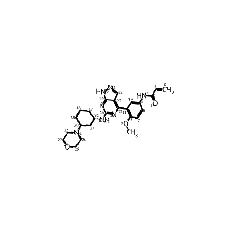 C=CC(=O)Nc1ccc(OC)c(-c2nc(N[C@H]3CCCC(N4CCOCC4)C3)nc3[nH]ncc23)c1